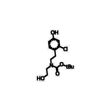 CC(C)(C)OC(=O)N(CCO)CCc1ccc(O)cc1Cl